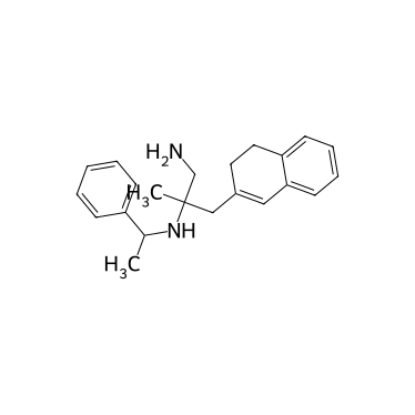 CC(NC(C)(CN)CC1=Cc2ccccc2CC1)c1ccccc1